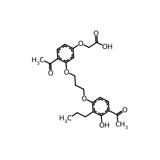 CCCc1c(OCCCOc2cc(OCC(=O)O)ccc2C(C)=O)ccc(C(C)=O)c1O